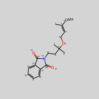 CO/C(C)=C/COC(C)(C)CCN1C(=O)c2ccccc2C1=O